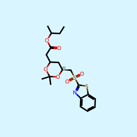 CCC(C)OC(=O)CC1C[C@@H](CS(=O)(=O)c2nc3ccccc3s2)OC(C)(C)O1